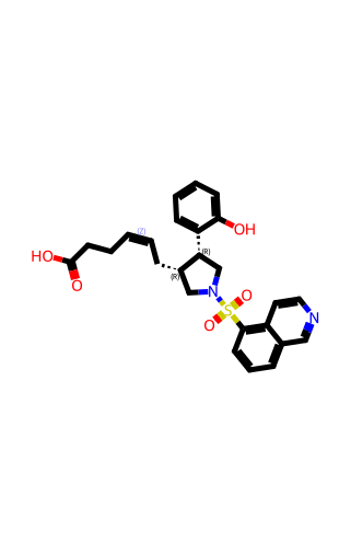 O=C(O)CC/C=C\C[C@H]1CN(S(=O)(=O)c2cccc3cnccc23)C[C@H]1c1ccccc1O